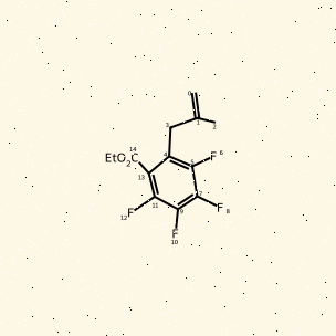 C=C(C)Cc1c(F)c(F)c(F)c(F)c1C(=O)OCC